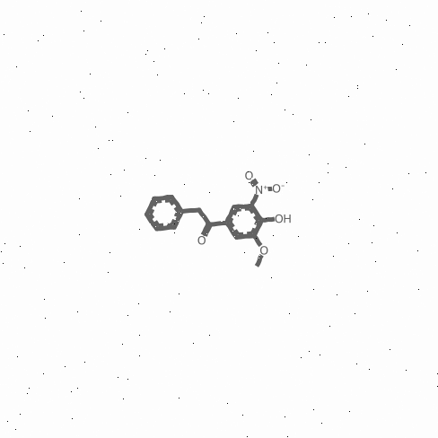 COc1cc(C(=O)Cc2ccccc2)cc([N+](=O)[O-])c1O